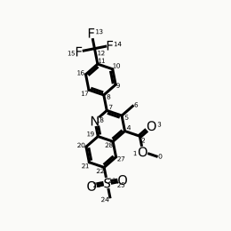 COC(=O)c1c(C)c(-c2ccc(C(F)(F)F)cc2)nc2ccc(S(C)(=O)=O)cc12